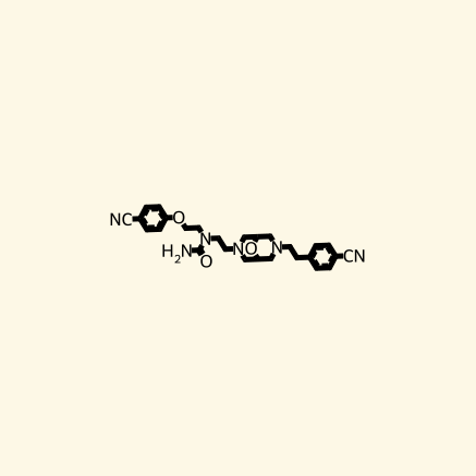 N#Cc1ccc(CCN2CC3CN(CCN(CCOc4ccc(C#N)cc4)C(N)=O)CC(C2)O3)cc1